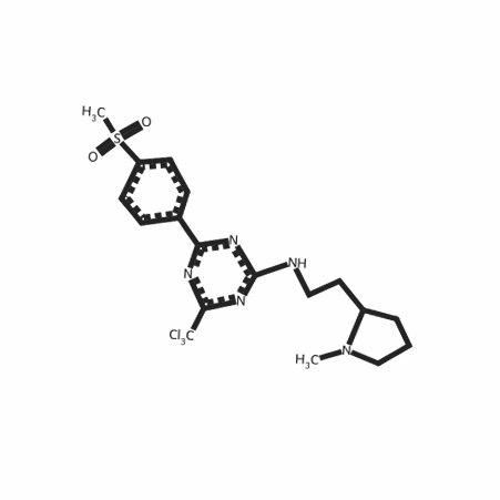 CN1CCCC1CCNc1nc(-c2ccc(S(C)(=O)=O)cc2)nc(C(Cl)(Cl)Cl)n1